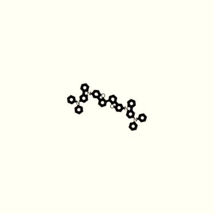 c1ccc(N(c2ccccc2)c2ccc3c(c2)c2ccccc2n3-c2ccc3oc4c(-c5cccc6c5oc5ccc(-n7c8ccccc8c8cc(N(c9ccccc9)c9ccccc9)ccc87)cc56)cccc4c3c2)cc1